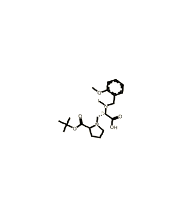 COc1ccccc1CN(I)[C@@H](CN1CCCC1C(=O)OC(C)(C)C)C(=O)O